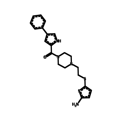 Nc1ccc(SCCN2CCN(C(=O)c3cc(-c4ccccc4)c[nH]3)CC2)s1